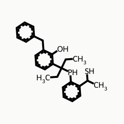 CCC(CC)(Pc1ccccc1C(C)S)c1cccc(Cc2ccccc2)c1O